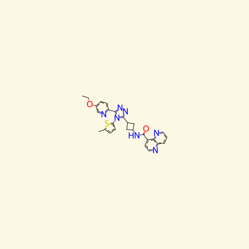 CCOc1ccc(-c2nnc(C3CC(NC(=O)c4ccnc5cccnc45)C3)n2-c2ccc(C)s2)nc1